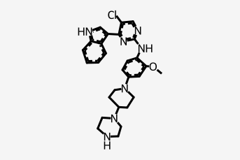 COc1cc(N2CCC(N3CCNCC3)CC2)ccc1Nc1ncc(Cl)c(-c2c[nH]c3ccccc23)n1